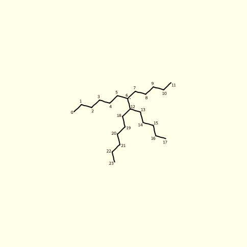 CCCCCC[C](CCCCC)C(CCCCC)CCCCCC